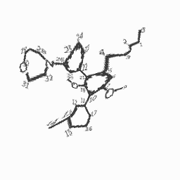 CCCCCc1cc(OC)c(C2C=C(C)CCC2)c(OC)c1-c1cccc(N2CCOCC2)c1